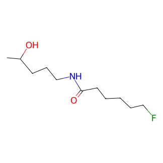 CC(O)CCCNC(=O)CCCCCF